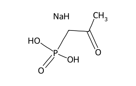 CC(=O)CP(=O)(O)O.[NaH]